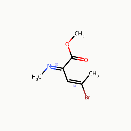 C/N=C(\C=C(/C)Br)C(=O)OC